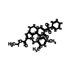 CCOC(=O)c1cc2c(n1Cc1ccc(C)cc1C)-c1[nH]c(=O)c(S(=O)(=O)c3ccccc3)cc1CC2